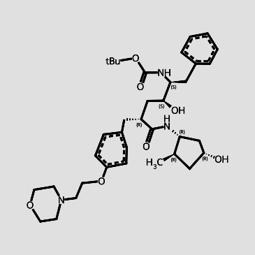 C[C@@H]1C[C@@H](O)C[C@H]1NC(=O)[C@H](Cc1ccc(OCCN2CCOCC2)cc1)C[C@H](O)[C@H](Cc1ccccc1)NC(=O)OC(C)(C)C